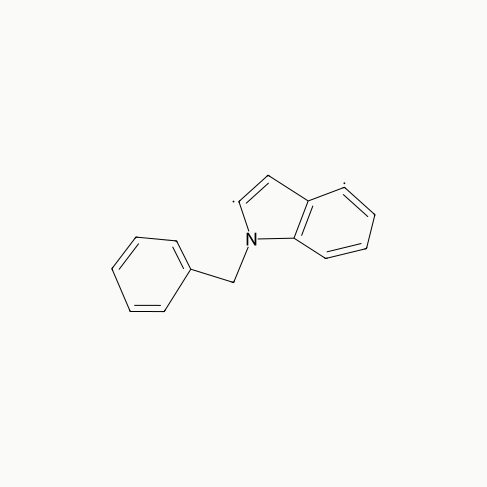 [c]1cccc2c1c[c]n2Cc1ccccc1